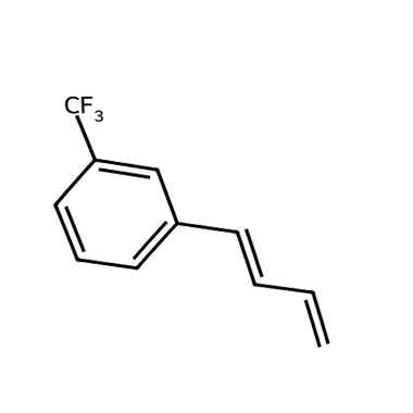 C=CC=Cc1cccc(C(F)(F)F)c1